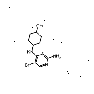 Nc1ncc(Br)c(NC2CCC(O)CC2)n1